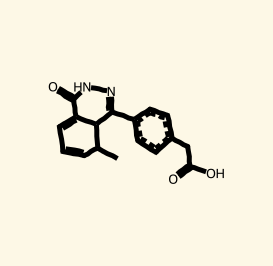 CC1C=CC=C2C(=O)NN=C(c3ccc(CC(=O)O)cc3)C21